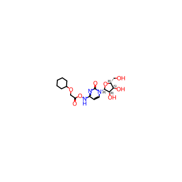 O=C(COC1CCCCC1)ONc1ccn([C@@H]2O[C@H](CO)[C@@H](O)[C@H]2O)c(=O)n1